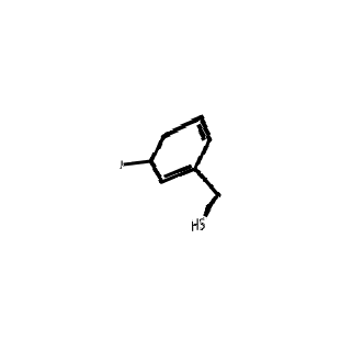 SCC1=CC(I)CC=C1